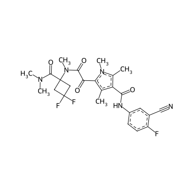 Cc1c(C(=O)Nc2ccc(F)c(C#N)c2)c(C)n(C)c1C(=O)C(=O)N(C)C1(C(=O)N(C)C)CC(F)(F)C1